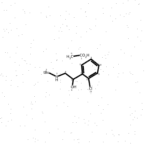 CC(=O)O.CC(C)(C)NCC(O)c1ccccc1Cl